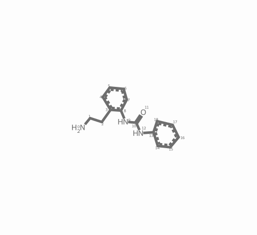 NCCc1ccccc1NC(=O)Nc1ccccc1